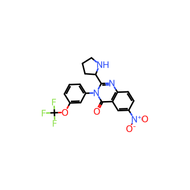 O=c1c2cc([N+](=O)[O-])ccc2nc(C2CCCN2)n1-c1cccc(OC(F)(F)F)c1